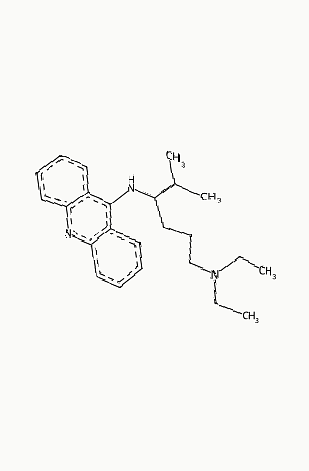 CCN(CC)CCCC(Nc1c2ccccc2nc2ccccc12)C(C)C